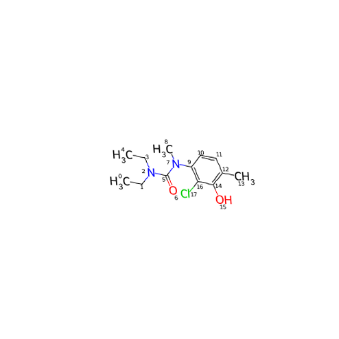 CCN(CC)C(=O)N(C)c1ccc(C)c(O)c1Cl